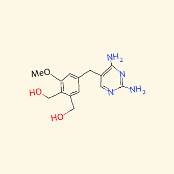 COc1cc(Cc2cnc(N)nc2N)cc(CO)c1CO